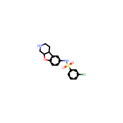 O=S(=O)(Nc1ccc2c(c1)C1CCNCC1O2)c1cccc(Cl)c1